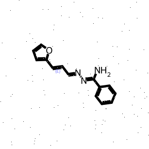 NC(=NN=C/C=C/c1ccco1)c1ccccc1